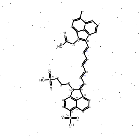 Cc1ccc2c3c(cccc13)C(/C=C/C=C/C=C/C=c1/c3cccc4c(S(=O)(=O)O)ccc(c43)n1CCCS(=O)(=O)O)=[N+]2CC(=O)O